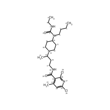 CCCCN(C(=O)NCC)C1CCN(C(C)CCNC(=O)c2c(C)cc(Cl)nc2Cl)CC1